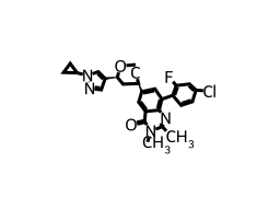 Cc1nc2c(-c3ccc(Cl)cc3F)cc([C@@H]3CCO[C@H](c4cnn(C5CC5)c4)C3)cc2c(=O)n1C